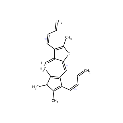 C=C/C=C\c1c(/C=c2/oc(C)c(/C=C\C=C)c2=C)c(C)n(C)c1C